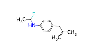 C=C(C)Cc1ccc(NC(C)F)cc1